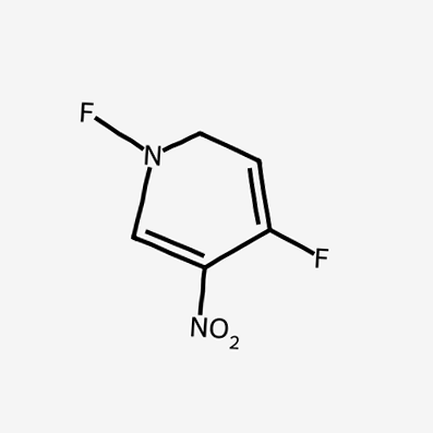 O=[N+]([O-])C1=CN(F)CC=C1F